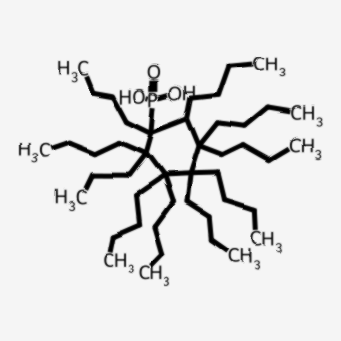 CCCCC1C(CCCC)(CCCC)C(CCCC)(CCCC)C(CCCC)(CCCC)C(CCC)(CCCC)C1(CCCC)P(=O)(O)O